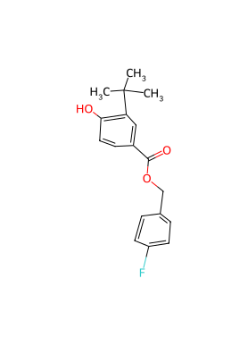 CC(C)(C)c1cc(C(=O)OCc2ccc(F)cc2)ccc1O